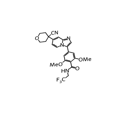 COc1cc(-c2cnc3cc(C4(C#N)CCOCC4)ccn23)cc(OC)c1C(=O)NCC(F)(F)F